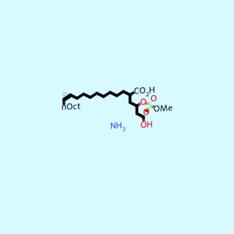 CCCCCCCC/C=C\CCCCCCCCC(CC(CCO)OS(=O)(=O)OC)C(=O)O.N